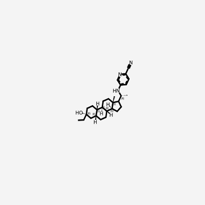 CC[C@@]1(O)CC[C@H]2[C@H](CC[C@@H]3[C@@H]2CC[C@]2(C)C([C@@H](C)Nc4ccc(C#N)nc4)CC[C@@H]32)C1